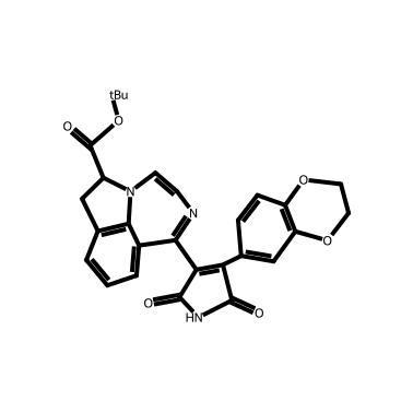 CC(C)(C)OC(=O)C1Cc2cccc3c2N1C=CN=C3C1=C(c2ccc3c(c2)OCCO3)C(=O)NC1=O